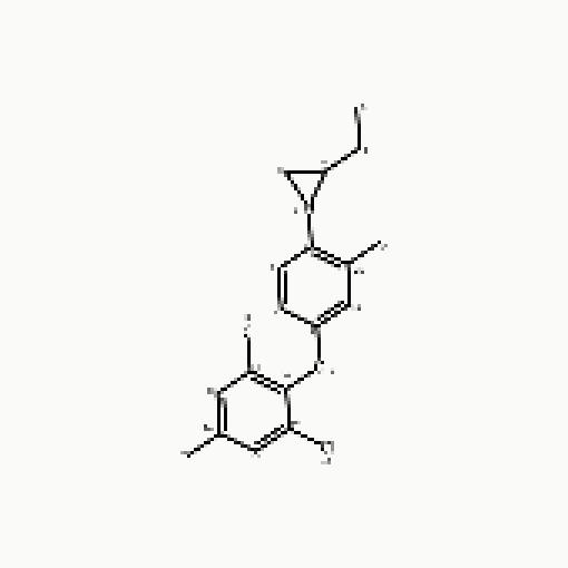 CCC1CN1c1ccc(Oc2c(Cl)cc(C)cc2Cl)cc1C